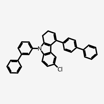 Clc1ccc2c(c1)c1c(n2-c2cccc(-c3ccccc3)c2)CCC=C1c1ccc(-c2ccccc2)cc1